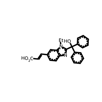 CCn1c(C(O)(c2ccccc2)c2ccccc2)nc2ccc(C=CC(=O)O)cc21